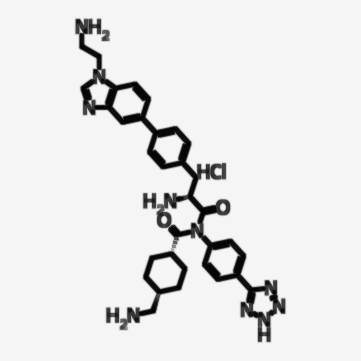 Cl.NCCn1cnc2cc(-c3ccc(C[C@H](N)C(=O)N(c4ccc(-c5nn[nH]n5)cc4)C(=O)[C@H]4CC[C@H](CN)CC4)cc3)ccc21